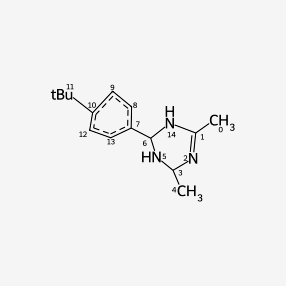 CC1=NC(C)NC(c2ccc(C(C)(C)C)cc2)N1